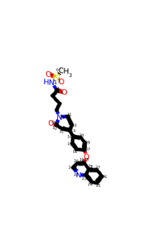 CS(=O)(=O)NC(=O)CCCn1ccc(-c2ccc(Oc3ccnc4ccccc34)cc2)cc1=O